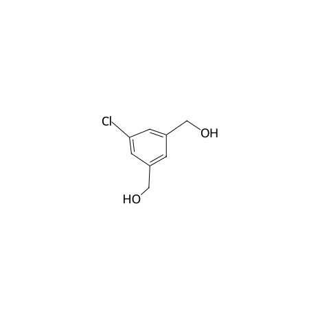 OCc1cc(Cl)cc(CO)c1